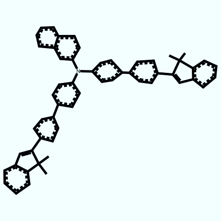 CC1(C)C(c2ccc(-c3ccc(N(c4ccc(-c5ccc(C6=Cc7ccccc7C6(C)C)cc5)cc4)c4ccc5ccccc5c4)cc3)cc2)=Cc2ccccc21